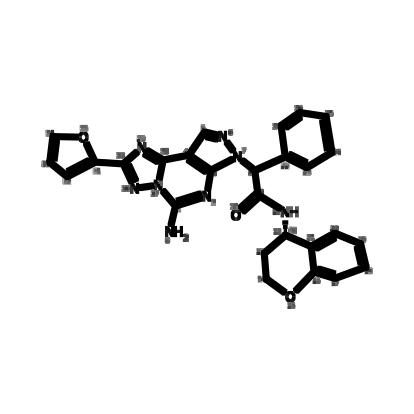 Nc1nc2c(cnn2C(C(=O)N[C@H]2CCOc3ccccc32)c2ccccc2)c2nc(-c3ccco3)nn12